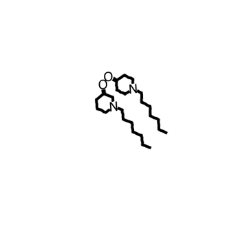 CCCCCCCN1CCC(=O)CC1.CCCCCCCN1CCCC(=O)C1